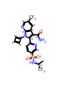 C[C@H](NS(=O)(=O)c1ccc(-c2c(C(N)=O)c3cc(C(F)(F)F)cnc3n2C2=CC=C2)nc1)C(F)(F)F